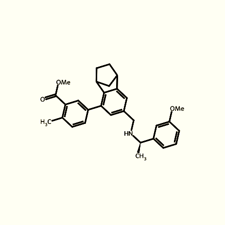 COC(=O)c1cc(-c2cc(CN[C@H](C)c3cccc(OC)c3)cc3c2C2CCC3C2)ccc1C